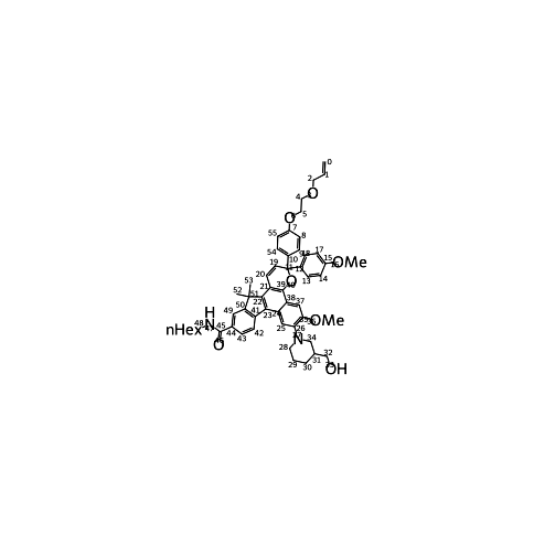 C=CCOCCOc1ccc(C2(c3ccc(OC)cc3)C=Cc3c4c(c5cc(N6CCCC(CO)C6)c(OC)cc5c3O2)-c2ccc(C(=O)NCCCCCC)cc2C4(C)C)cc1